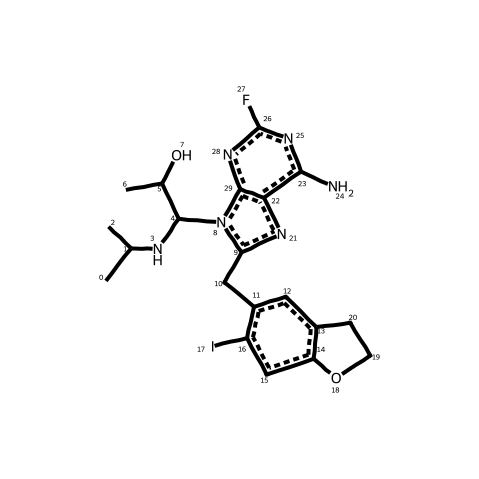 CC(C)NC(C(C)O)n1c(Cc2cc3c(cc2I)OCC3)nc2c(N)nc(F)nc21